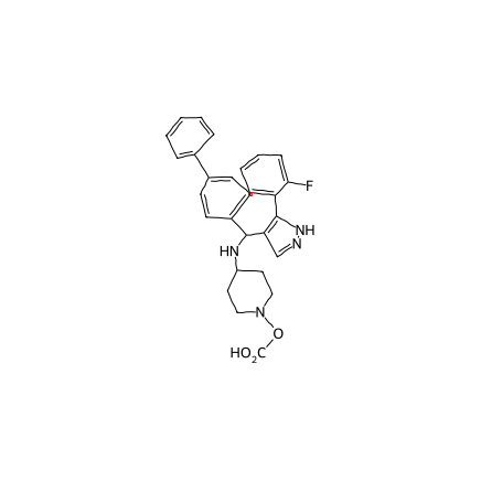 O=C(O)ON1CCC(NC(c2ccc(-c3ccccc3)cc2)c2cn[nH]c2-c2ccccc2F)CC1